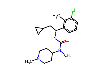 Cc1c(Cl)cccc1C(CC1CC1)NC(=O)N(C)C1CCN(C)CC1